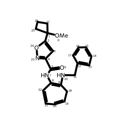 COC1(c2cc(C(=O)NC3=C(NCc4ccccc4)CC=CC=C3)no2)CCC1